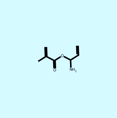 C=CC(N)OC(=O)C(=C)C